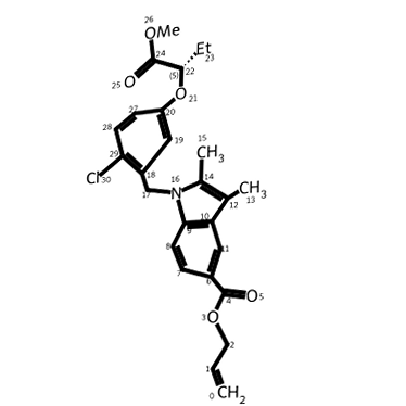 C=CCOC(=O)c1ccc2c(c1)c(C)c(C)n2Cc1cc(O[C@@H](CC)C(=O)OC)ccc1Cl